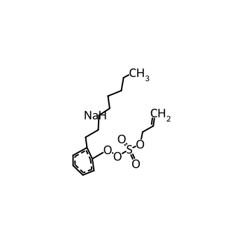 C=CCOS(=O)(=O)OOc1ccccc1CCCCCCCC.[NaH]